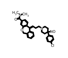 CN(C)C(=O)c1ccc2c(c1)OCc1ccccc1C2=CCCN1CCC(N=O)(c2ccc(Cl)cc2)CC1